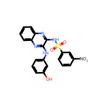 O=[N+]([O-])c1cccc(S(=O)(=O)Nc2nc3ccccc3nc2Nc2cccc(O)c2)c1